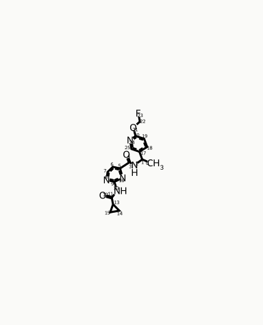 CC(NC(=O)c1ccnc(NC(=O)C2CC2)n1)c1ccc(OCF)nc1